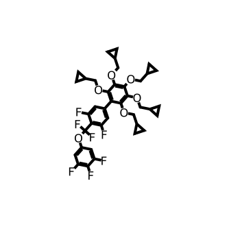 Fc1cc(OC(F)(F)c2c(F)cc(-c3c(OCC4CC4)c(OCC4CC4)c(OCC4CC4)c(OCC4CC4)c3OCC3CC3)cc2F)cc(F)c1F